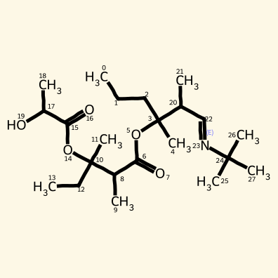 CCCC(C)(OC(=O)C(C)C(C)(CC)OC(=O)C(C)O)C(C)/C=N/C(C)(C)C